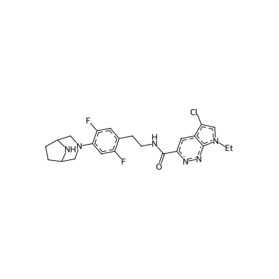 CCn1cc(Cl)c2cc(C(=O)NCCc3cc(F)c(N4CC5CCC(C4)N5)cc3F)nnc21